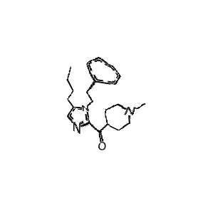 CCCCc1cnc(C(=O)C2CCN(C)CC2)n1CCc1ccccc1